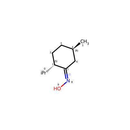 CC(C)[C@@H]1CC[C@@H](C)C/C1=N/O